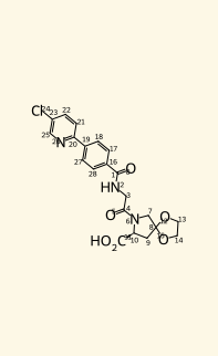 O=C(NCC(=O)N1CC2(C[C@H]1C(=O)O)OCCO2)c1ccc(-c2ccc(Cl)cn2)cc1